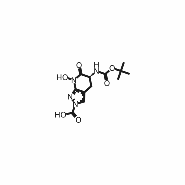 CC(C)(C)OC(=O)N[C@H]1Cc2cn(C(=O)O)nc2N(O)C1=O